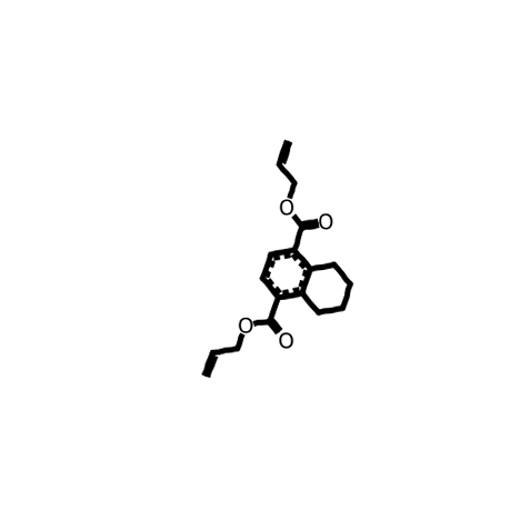 C=CCOC(=O)c1ccc(C(=O)OCC=C)c2c1CCCC2